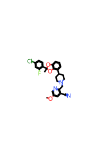 COc1cnc(CN2CCC(c3cccc4c3OC(C)(c3ccc(Cl)cc3F)O4)CC2)c(C#N)c1